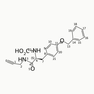 C#CCNC(=O)[C@H](Cc1ccc(OCc2ccccc2)cc1)NC(=O)O